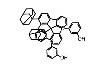 Oc1cccc(Oc2ccccc2C2(c3ccccc3Oc3cccc(O)c3)c3ccccc3-c3ccc(C45CC6CC(CC(C6)C4)C5)c(C45CC6CC(CC(C6)C4)C5)c32)c1